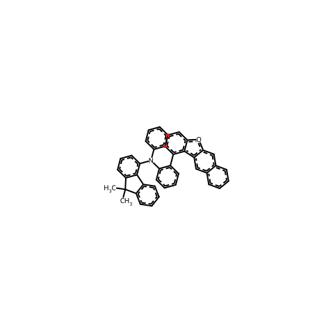 CC1(C)c2ccccc2-c2c(N(c3ccccc3)c3ccccc3-c3cccc4oc5cc6ccccc6cc5c34)cccc21